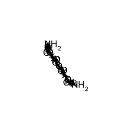 Nc1ccc(C(=O)OCCCCCC(=O)OCCOCCOC(=O)CCCCCOC(=O)c2ccc(N)cc2)cc1